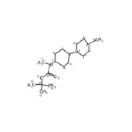 CN1CCN(C2CCC(N(C)C(=O)OC(C)(C)C)CC2)CC1